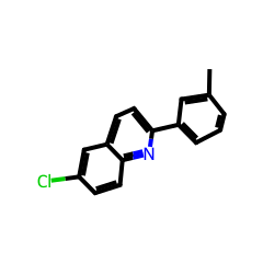 Cc1cccc(-c2ccc3cc(Cl)ccc3n2)c1